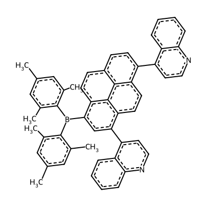 Cc1cc(C)c(B(c2c(C)cc(C)cc2C)c2cc(-c3ccnc4ccccc34)c3ccc4c(-c5ccnc6ccccc56)ccc5ccc2c3c54)c(C)c1